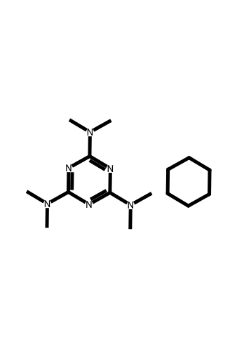 C1CCCCC1.CN(C)c1nc(N(C)C)nc(N(C)C)n1